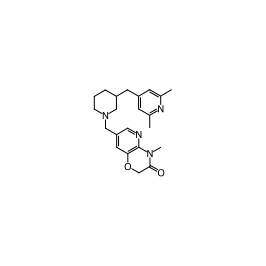 Cc1cc(CC2CCCN(Cc3cnc4c(c3)OCC(=O)N4C)C2)cc(C)n1